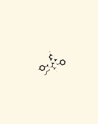 COc1cc2nc(C(C(C)C)N(CCCN)C(=O)c3ccc(C)cc3)n(Cc3ccccc3)c(=O)n2n1.Cl